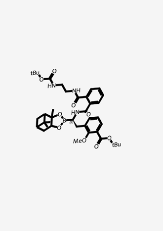 COc1c(C[C@H](NC(=O)c2ccccc2C(=O)NCCNC(=O)OC(C)(C)C)B2OC3CC4CC(C4(C)C)C3(C)O2)cccc1C(=O)OC(C)(C)C